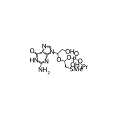 CSC[C@@H](OC(CO)n1cnc2c(=O)[nH]c(N)nc21)OP(=O)(O)OC(C)C